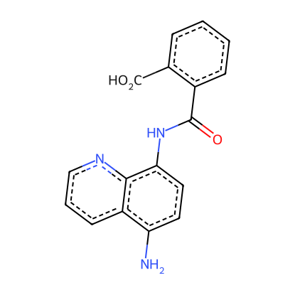 Nc1ccc(NC(=O)c2ccccc2C(=O)O)c2ncccc12